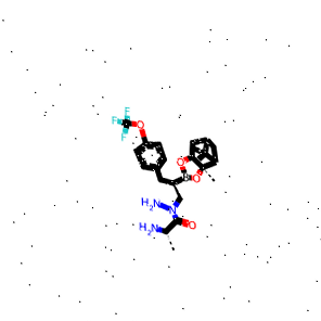 C[C@H](N)C(=O)N(N)C[C@@H](Cc1ccc(OC(F)(F)F)cc1)B1OC2CC3CC(C3(C)C)[C@@]2(C)O1